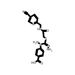 N#Cc1ccc(CNC(=O)CS/C(=N/N)N(N)c2ccc(C(=O)O)cc2)nc1